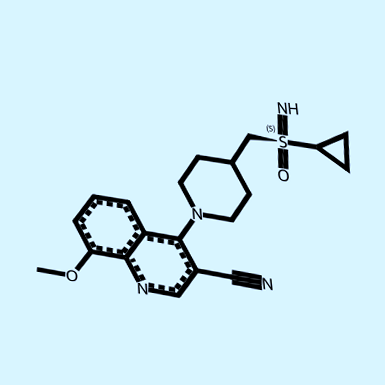 COc1cccc2c(N3CCC(C[S@](=N)(=O)C4CC4)CC3)c(C#N)cnc12